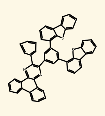 c1ccc(-c2nc3c4ccccc4c4ccccc4c3nc2-c2cc(-c3cccc4c3sc3ccccc34)cc(-c3cccc4c3sc3ccccc34)c2)cc1